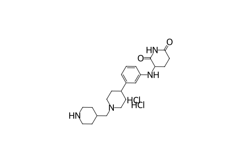 Cl.Cl.O=C1CCC(Nc2cccc(C3CCN(CC4CCNCC4)CC3)c2)C(=O)N1